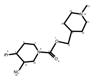 CC(C)C1CCN(C(=O)OCC2CCN(C)CC2)CC1C#N